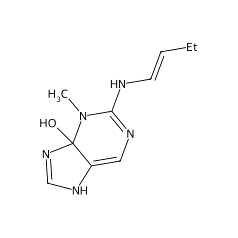 CCC=CNC1=NC=C2NC=NC2(O)N1C